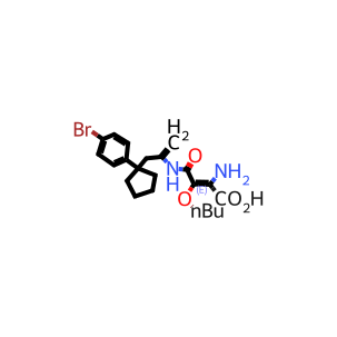 C=C(CC1(c2ccc(Br)cc2)CCCC1)NC(=O)/C(OCCCC)=C(\N)C(=O)O